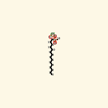 CCCCCCCCCCCCCCC(OCl)S(C)(=O)=O